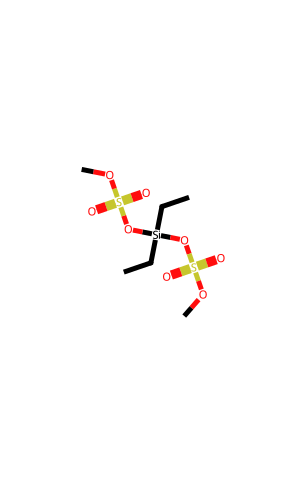 CC[Si](CC)(OS(=O)(=O)OC)OS(=O)(=O)OC